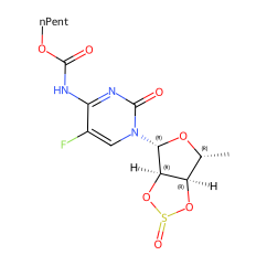 CCCCCOC(=O)Nc1nc(=O)n([C@@H]2O[C@H](C)[C@H]3OS(=O)O[C@H]32)cc1F